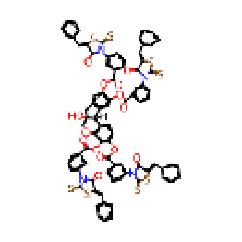 O=C(Oc1cc2c(cc1OC(=O)c1cccc(N3C(=O)/C(=C/c4ccccc4)SC3=S)c1)[C@@H]1c3ccc(OC(=O)c4cccc(N5C(=O)/C(=C/c6ccccc6)SC5=S)c4)c(OC(=O)c4cccc(N5C(=O)/C(=C/c6ccccc6)SC5=S)c4)c3OC[C@]1(O)C2)c1cccc(N2C(=O)/C(=C/c3ccccc3)SC2=S)c1